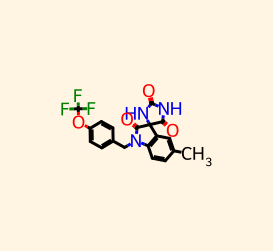 Cc1ccc2c(c1)C1(NC(=O)NC1=O)C(=O)N2Cc1ccc(OC(F)(F)F)cc1